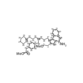 COCCc1nc2c(N)nc3ccccc3c2n1CCCN(CCCN1CCCCC1)Cc1ccc(CC(=O)OC)cc1